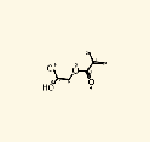 C=C(C)C(=O)OCC(O)Cl